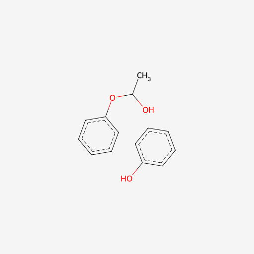 CC(O)Oc1ccccc1.Oc1ccccc1